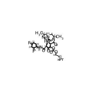 CC1=NO[C@@]2(CC[C@H](C)N3C[C@H]2n2cc(C(=O)NCc4ccc(F)cc4F)c(=O)c(OC(=O)OCCC(C)C)c2C3=O)C1